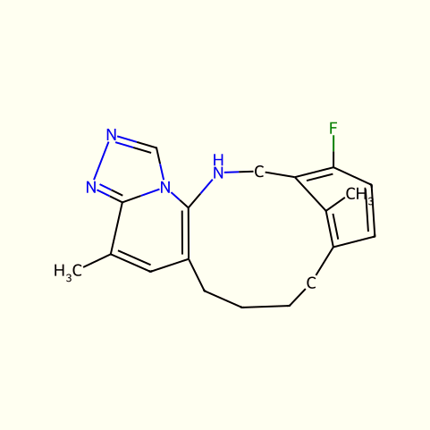 Cc1c2ccc(F)c1CNc1c(cc(C)c3nncn13)CCCC2